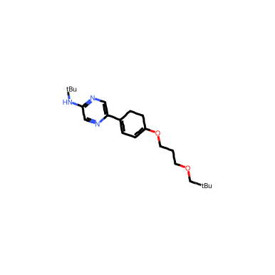 CC(C)(C)COCCCOC1=CC=C(c2cnc(NC(C)(C)C)cn2)CC1